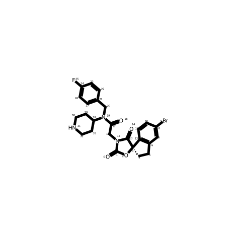 O=C1O[C@@]2(CCc3cc(Br)ccc32)C(=O)N1CC(=O)N(Cc1ccc(F)cc1)C1CCNCC1